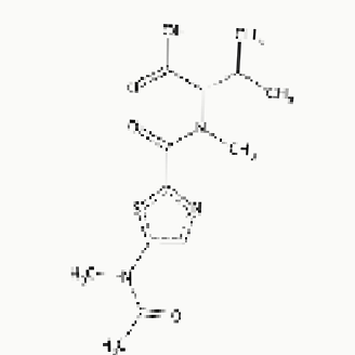 CC(=O)N(C)c1cnc(C(=O)N(C)[C@H](C(=O)O)C(C)C)s1